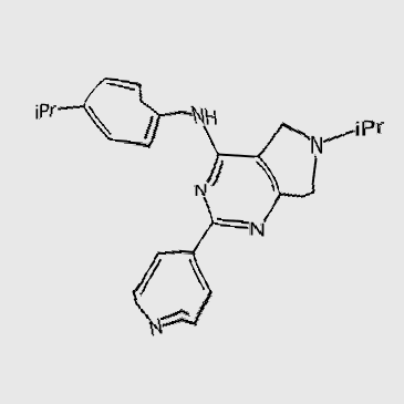 CC(C)c1ccc(Nc2nc(-c3ccncc3)nc3c2CN(C(C)C)C3)cc1